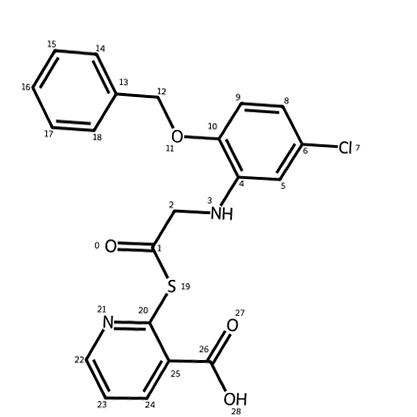 O=C(CNc1cc(Cl)ccc1OCc1ccccc1)Sc1ncccc1C(=O)O